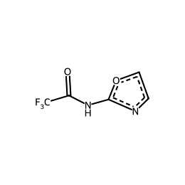 O=C(Nc1ncco1)C(F)(F)F